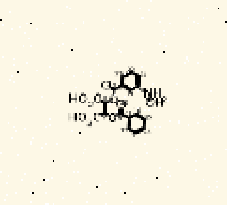 NO.O=C(OC(C(=O)O)C(OC(=O)c1ccccc1)C(=O)O)c1ccccc1